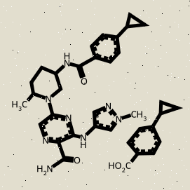 CC1CCC(NC(=O)c2ccc(C3CC3)cc2)CN1c1cnc(C(N)=O)c(Nc2cnn(C)c2)n1.O=C(O)c1ccc(C2CC2)cc1